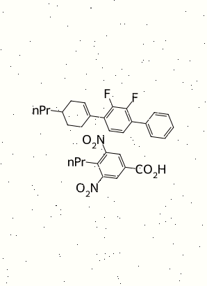 CCCC1CC=C(c2ccc(-c3ccccc3)c(F)c2F)CC1.CCCc1c([N+](=O)[O-])cc(C(=O)O)cc1[N+](=O)[O-]